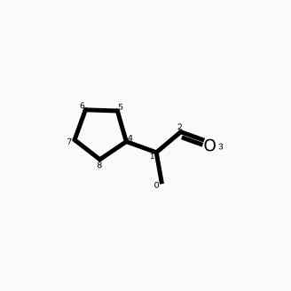 CC(C=O)C1CCCC1